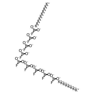 [K+].[K+].[K+].[K+].[K+].[K+].[K+].[K+].[K+].[K+].[K+].[K+].[K+].[K+].[K+].[K+].[K+].[K+].[O-]B([O-])F.[O-]B([O-])F.[O-]B([O-])F.[O-]B([O-])F.[O-]B([O-])F.[O-]B([O-])F.[O-]B([O-])F.[O-]B([O-])F.[O-]B([O-])F